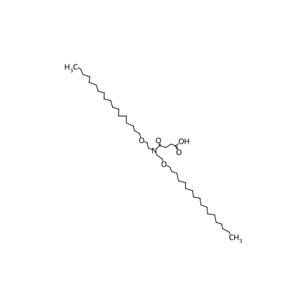 CCCCCCCCCCCCCCCCCCOCCN(CCOCCCCCCCCCCCCCCCCCC)C(=O)CCC(=O)O